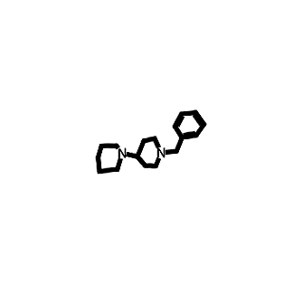 c1ccc(CN2CCC(N3CCCCC3)CC2)cc1